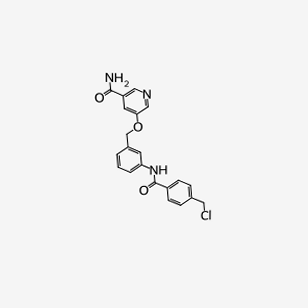 NC(=O)c1cncc(OCc2cccc(NC(=O)c3ccc(CCl)cc3)c2)c1